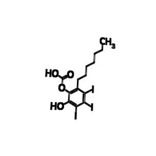 CCCCCCCc1c(I)c(I)c(I)c(O)c1OC(=O)O